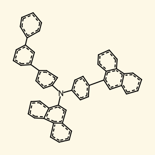 c1ccc(-c2cccc(-c3ccc(N(c4ccc(-c5cc6ccccc6c6ccccc56)cc4)c4cc5ccccc5c5ccccc45)cc3)c2)cc1